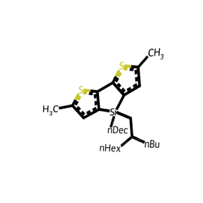 CCCCCCCCCC[Si]1(CC(CCCC)CCCCCC)c2cc(C)sc2-c2sc(C)cc21